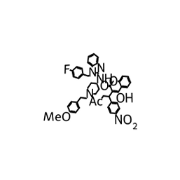 CC(=O)CC(c1ccc([N+](=O)[O-])cc1)c1c(O)c2ccccc2oc1=O.COc1ccc(CCN2CCC(Nc3nc4ccccc4n3Cc3ccc(F)cc3)CC2)cc1